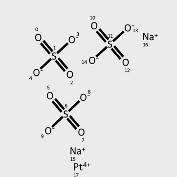 O=S(=O)([O-])[O-].O=S(=O)([O-])[O-].O=S(=O)([O-])[O-].[Na+].[Na+].[Pt+4]